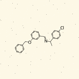 CC(N=Cc1cccc(OCc2ccccc2)c1)c1ccc(Cl)cc1